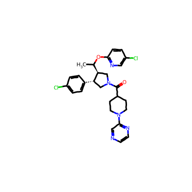 CC(Oc1ccc(Cl)cn1)[C@H]1CN(C(=O)C2CCN(c3cnccn3)CC2)C[C@@H]1c1ccc(Cl)cc1